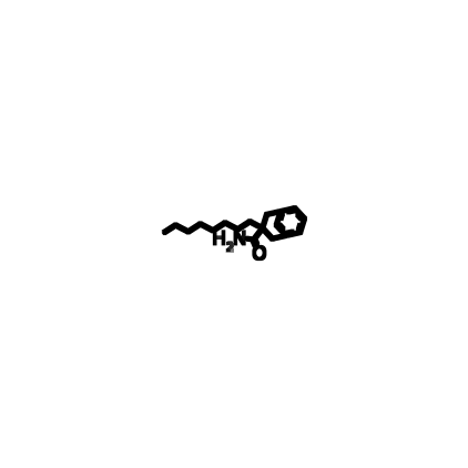 CCCCCCCCC1(C(N)=O)Cc2cccc(c2)C1